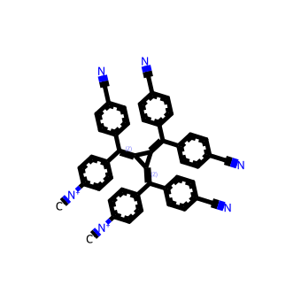 [C-]#[N+]c1ccc(/C(=C2/C(=C(c3ccc(C#N)cc3)c3ccc(C#N)cc3)/C2=C(\c2ccc(C#N)cc2)c2ccc([N+]#[C-])cc2)c2ccc(C#N)cc2)cc1